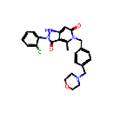 Cc1c2c(=O)n(-c3ccccc3Cl)[nH]c2cc(=O)n1Cc1ccc(CN2CCOCC2)cc1